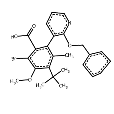 COc1c(Br)c(C(=O)O)c(-c2cccnc2OCc2ccccc2)c(C)c1C(C)(C)C